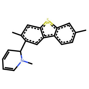 Cc1ccc2c(c1)sc1cc(C)c(C3C=CC=CN3C)cc12